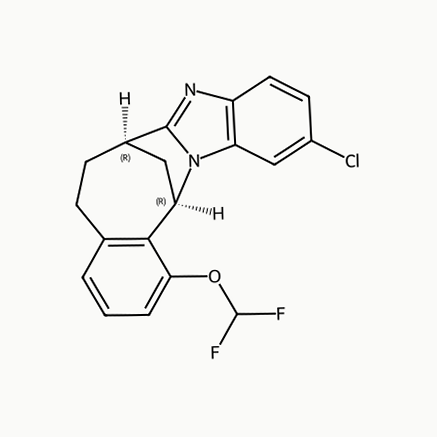 FC(F)Oc1cccc2c1[C@H]1C[C@@H](CC2)c2nc3ccc(Cl)cc3n21